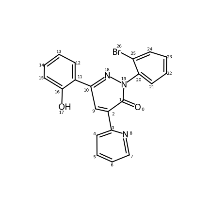 O=c1c(-c2ccccn2)cc(-c2ccccc2O)nn1-c1ccccc1Br